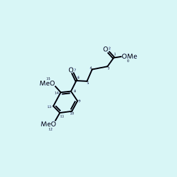 COC(=O)CCCC(=O)c1ccc(OC)cc1OC